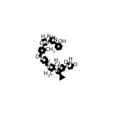 Cc1cc(C(=O)N2CCC(F)(CN3C[C@@H](C)C(n4cc(C5CC5)c5cc(N6CCC(=O)NC6=O)cnc54)[C@@H](C)C3)CC2)ccc1[C@@H]1CN(c2cc(-c3ccccc3O)nnc2N)CCO1